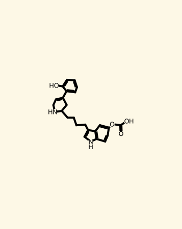 O=C(O)Oc1ccc2[nH]cc(CCCCC3CC(c4ccccc4O)=CCN3)c2c1